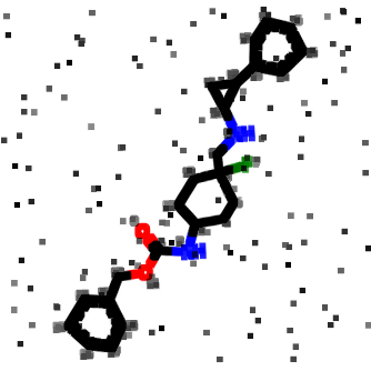 O=C(NC1CCC(F)(CNC2CC2c2ccccc2)CC1)OCc1ccccc1